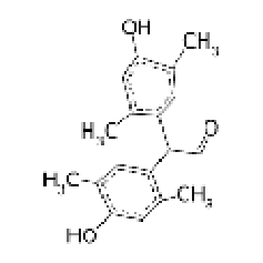 Cc1cc(C(C=O)c2cc(C)c(O)cc2C)c(C)cc1O